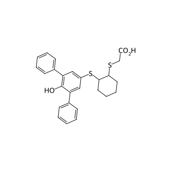 O=C(O)CSC1CCCCC1Sc1cc(-c2ccccc2)c(O)c(-c2ccccc2)c1